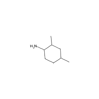 CC1[CH]CC(N)C(C)C1